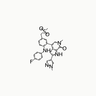 Cn1cc(-c2cc3c(-c4cc(CS(C)(=O)=O)ccc4Nc4ccc(F)cc4)cn(C)c(=O)c3[nH]2)cn1